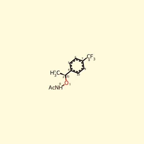 CC(=O)NO[C@@H](C)c1ccc(C(F)(F)F)cc1